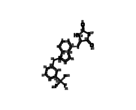 O=C1NC(=Cc2cccc3c2ccn3Cc2cccc(C(F)(F)F)c2)C(=O)S1